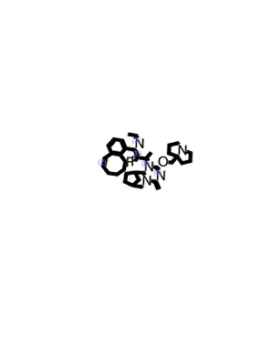 C=C(\N=C(/N=C(C)/C(F)=C(\N=C/C)c1cccc2c1C(F)CCC/C=C\2)OCC12CCCN1CCC2)N1CC2CCC(C2)C1